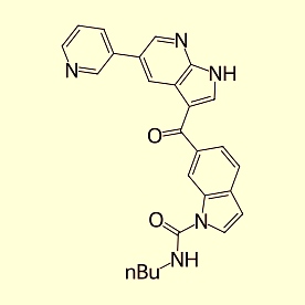 CCCCNC(=O)n1ccc2ccc(C(=O)c3c[nH]c4ncc(-c5cccnc5)cc34)cc21